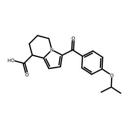 CC(C)Oc1ccc(C(=O)c2ccc3n2CCCC3C(=O)O)cc1